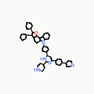 C1=CC(C2=NC(c3ccc(-c4ccncc4)cc3)=CC(c3ccc(-n4c5ccccc5c5c6oc(-c7ccccc7)c(-c7ccccc7)c6ccc54)cc3)N2)=CCN1